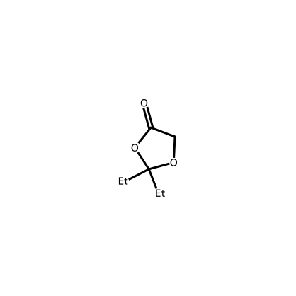 CCC1(CC)OCC(=O)O1